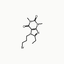 CCc1nc2c(c(=O)n(C)c(=O)n2C)n1CCCBr